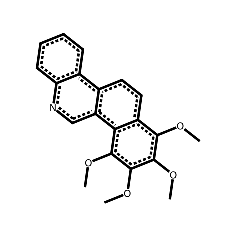 COc1c(OC)c(OC)c2c(ccc3c4ccccc4ncc32)c1OC